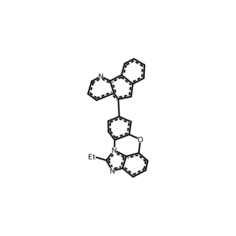 CCc1nc2cccc3c2n1-c1ccc(-c2cc4ccccc4c4ncccc24)cc1O3